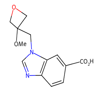 COC1(Cn2cnc3ccc(C(=O)O)cc32)COC1